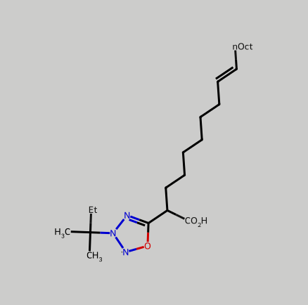 CCCCCCCCC=CCCCCCCC(C(=O)O)C1=NN(C(C)(C)CC)[N]O1